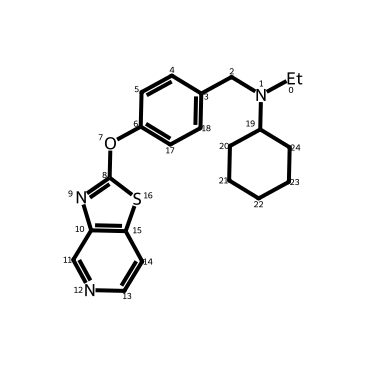 CCN(Cc1ccc(Oc2nc3cnccc3s2)cc1)C1CCCCC1